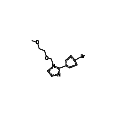 COCCOCn1ccnc1-c1ccc(Br)cc1